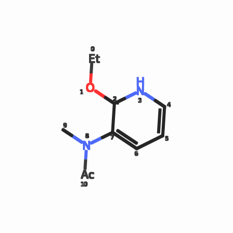 CCO[C]1NC=CC=C1N(C)C(C)=O